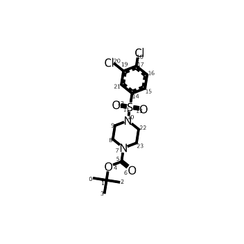 CC(C)(C)OC(=O)N1CCN(S(=O)(=O)c2ccc(Cl)c(Cl)c2)CC1